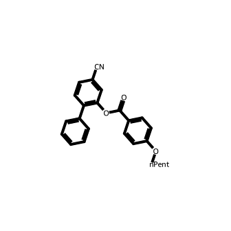 CCCCCOc1ccc(C(=O)Oc2cc(C#N)ccc2-c2ccccc2)cc1